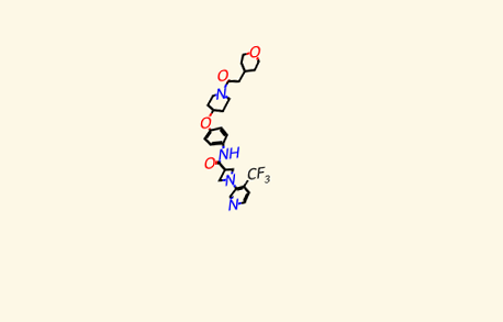 O=C(Nc1ccc(OC2CCN(C(=O)CC3CCOCC3)CC2)cc1)C1CN(c2cnccc2C(F)(F)F)C1